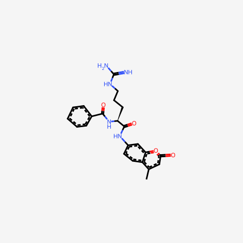 Cc1cc(=O)oc2cc(NC(=O)[C@H](CCCNC(=N)N)NC(=O)c3ccccc3)ccc12